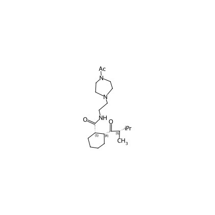 CC(=O)N1CCN(CCNC(=O)[C@H]2CCCC[C@H]2C(=O)[C@@H](C)C(C)C)CC1